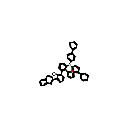 c1ccc(-c2ccc(N(c3ccc(-c4ccccc4)cc3)c3cccc(-c4cccc5c4oc4cc6ccccc6cc45)c3-c3ccccc3)cc2)cc1